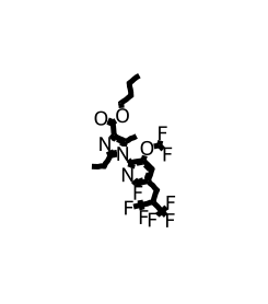 CCCCOC(=O)c1nc(CC)n(-c2ncc(CC(C(F)(F)F)C(F)(F)F)cc2OC(F)F)c1C